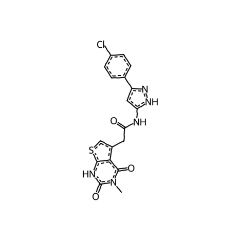 Cn1c(=O)[nH]c2scc(CC(=O)Nc3cc(-c4ccc(Cl)cc4)n[nH]3)c2c1=O